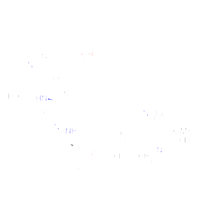 C=C/C(=C(\N=C/C)[C@H](C)OC)c1c2c3cc(ccc3n1CC)-c1cc(O)cc(c1)C[C@H](NC(=O)[C@@H]1[C@H](C)CCN1C(C)=O)C(=O)N1CCC[C@H](N1)C(=O)OCC(C)(C)C2